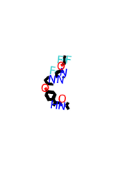 CC(C)NC(=O)C(C)c1ccc(OC2CCN(c3ncnc(OCC(C)(F)F)c3F)C2)cc1